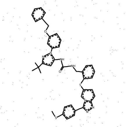 CSc1ccc(-c2nnc3ccc(Sc4ccccc4CNC(=O)Nc4cc(C(C)(C)C)nn4-c4cccc(OCc5ccccc5)c4)cn23)cc1